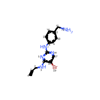 C#CCNc1nc(Nc2ccc(CN)cc2)ncc1Br